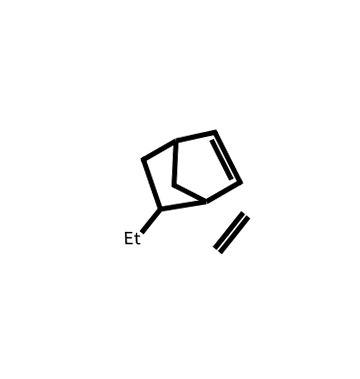 C=C.CCC1CC2C=CC1C2